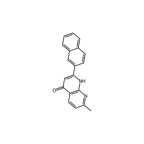 Cc1ccc2c(=O)cc(-c3ccc4ccccc4c3)[nH]c2n1